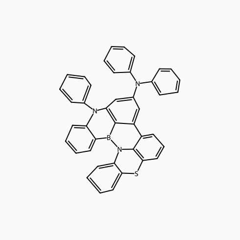 c1ccc(N(c2ccccc2)c2cc3c4c(c2)N(c2ccccc2)c2ccccc2B4N2c4ccccc4Sc4cccc-3c42)cc1